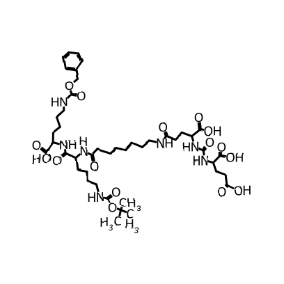 CC(C)(C)OC(=O)NCCCCC(NC(=O)CCCCCCCNC(=O)CCC(NC(=O)NC(CCC(=O)O)C(=O)O)C(=O)O)C(=O)NC(CCCCNC(=O)OCc1ccccc1)C(=O)O